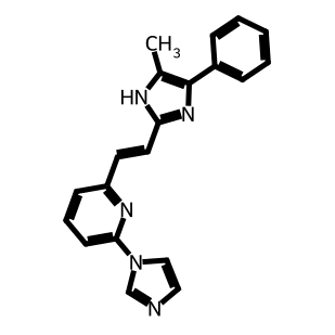 Cc1[nH]c(C=Cc2cccc(-n3ccnc3)n2)nc1-c1ccccc1